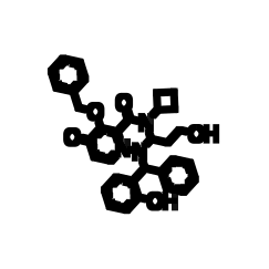 O=C1c2c(OCc3ccccc3)c(=O)ccn2N(C(c2ccccc2)c2ccccc2O)C(CCO)N1C1CCC1